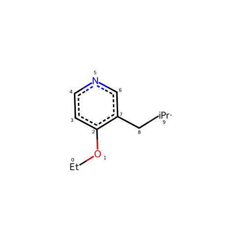 CCOc1ccncc1C[C](C)C